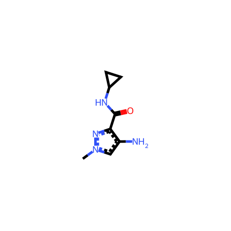 Cn1cc(N)c(C(=O)NC2CC2)n1